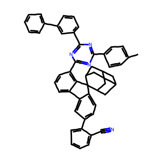 Cc1ccc(-c2nc(-c3cccc(-c4ccccc4)c3)nc(-c3cccc4c3C3(c5ccc(-c6ccccc6C#N)cc5-4)C4CC5CC(C4)CC3C5)n2)cc1